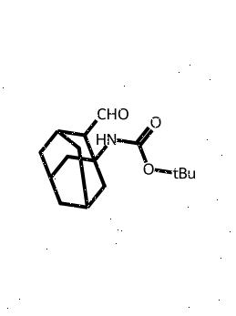 CC(C)(C)OC(=O)NC12CC3CC(CC(C3)C1C=O)C2